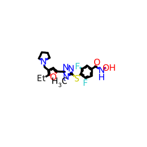 CCc1oc(-c2nnc(Sc3c(F)cc(C(=O)NO)cc3F)n2C)cc1CN1CCCC1